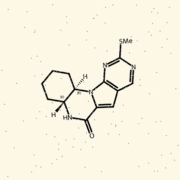 CSc1ncc2cc3n(c2n1)[C@@H]1CCCC[C@H]1NC3=O